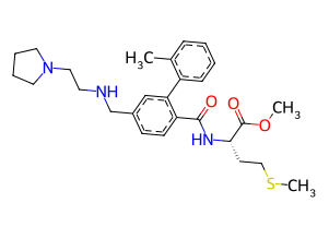 COC(=O)[C@H](CCSC)NC(=O)c1ccc(CNCCN2CCCC2)cc1-c1ccccc1C